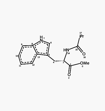 COC(=O)[C@H](Cc1c[nH]c2ccccc12)NC(=O)C(C)C